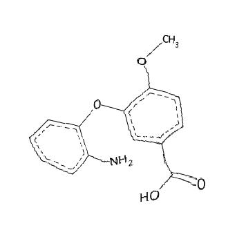 COc1ccc(C(=O)O)cc1Oc1ccccc1N